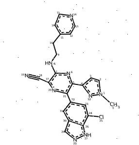 Cn1ccc(-c2nc(NCCc3ccncc3)c(C#N)nc2-c2cc(Cl)c3[nH]ncc3c2)n1